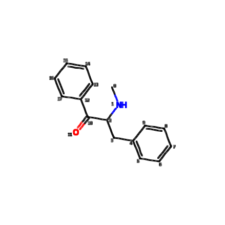 CNC(Cc1ccccc1)C(=O)c1ccccc1